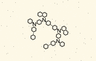 c1ccc(-c2ccc(N(c3ccccc3)c3ccc(N(c4ccc(-c5ccc(N(c6ccc(N(c7ccccc7)c7ccc(-c8ccccc8)cc7)cc6)c6cccc7ccccc67)cc5)cc4)c4cccc5ccccc45)cc3)cc2)cc1